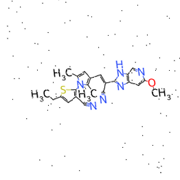 CCc1cc(C#N)c(-n2c(C)cc(C=C(C#N)c3nc4cc(OC)ncc4[nH]3)c2C)s1